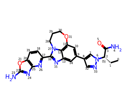 CC[C@@H](C(N)=O)n1cc(-c2cc3c4c(c2)nc(-c2ccc5oc(N)nc5n2)n4CCCO3)cn1